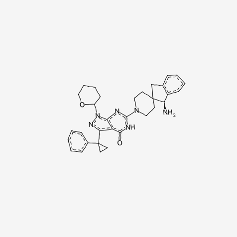 N[C@@H]1c2ccccc2CC12CCN(c1nc3c(c(C4(c5ccccc5)CC4)nn3C3CCCCO3)c(=O)[nH]1)CC2